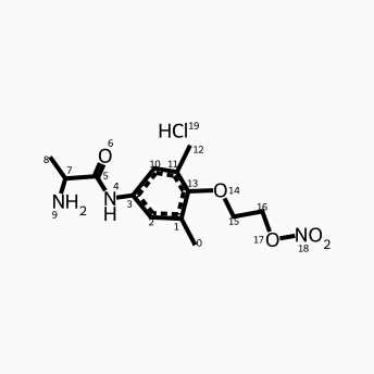 Cc1cc(NC(=O)C(C)N)cc(C)c1OCCO[N+](=O)[O-].Cl